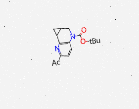 CC(=O)c1ccc2c(n1)C1CC1CN2C(=O)OC(C)(C)C